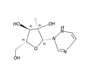 C[C@@]1(O)[C@H](O)[C@@H](CO)O[C@H]1N1C=NC=CN1